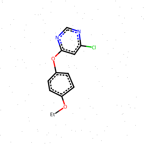 CCOc1ccc(Oc2cc(Cl)ncn2)cc1